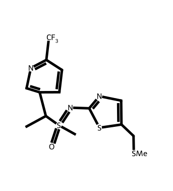 CSCc1cnc(N=S(C)(=O)C(C)c2ccc(C(F)(F)F)nc2)s1